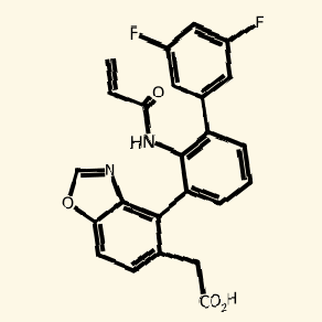 C=CC(=O)Nc1c(-c2cc(F)cc(F)c2)cccc1-c1c(CC(=O)O)ccc2ocnc12